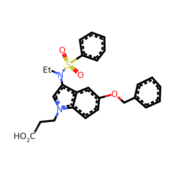 CCN(c1cn(CCC(=O)O)c2ccc(OCc3ccccc3)cc12)S(=O)(=O)c1ccccc1